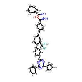 N=C(OC(=N)c1ccc(-c2ccc3c(c2)C(F)(F)c2cc(-c4nc(-c5ccccc5)nc(-c5ccccc5)n4)ccc2-3)cc1)c1ccccc1